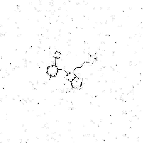 COc1ccc(-c2nccs2)c(Sc2nc3c(N)ncnc3n2CCCNS(C)(=O)=O)c1